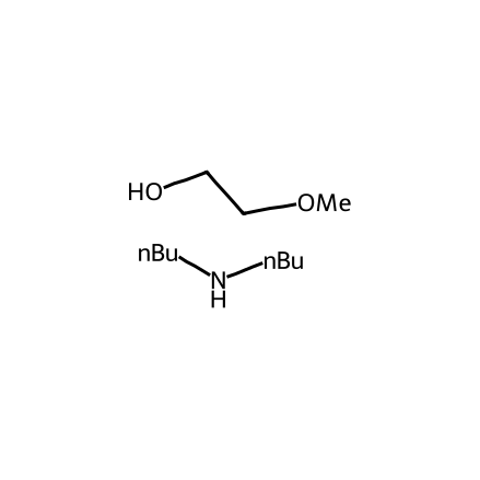 CCCCNCCCC.COCCO